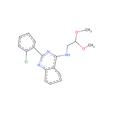 COC(CNc1nc(-c2ccccc2Cl)nc2ccccc12)OC